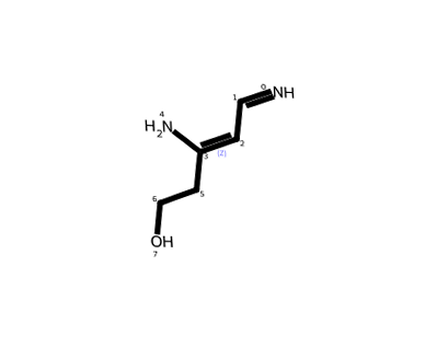 N=C/C=C(\N)CCO